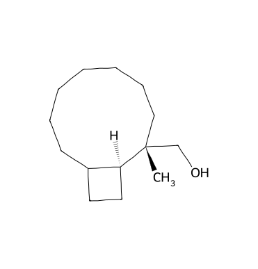 C[C@]1(CO)CCCCCCCC2CC[C@@H]21